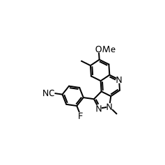 COc1cc2ncc3c(c(-c4ccc(C#N)cc4F)nn3C)c2cc1C